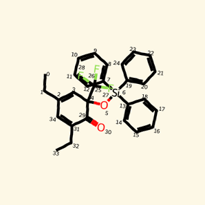 CCC1=CC(O[Si](c2ccccc2)(c2ccccc2)c2ccccc2)(C(F)(F)F)C(=O)C(CC)=C1